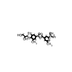 CCc1cc(N2OOC(c3cc(C)nc(N(C)C(C)C)c3)O2)cc(C)c1OC[C@@H](O)CO